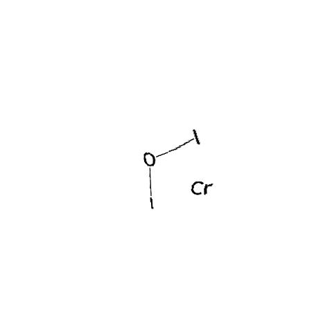 IOI.[Cr]